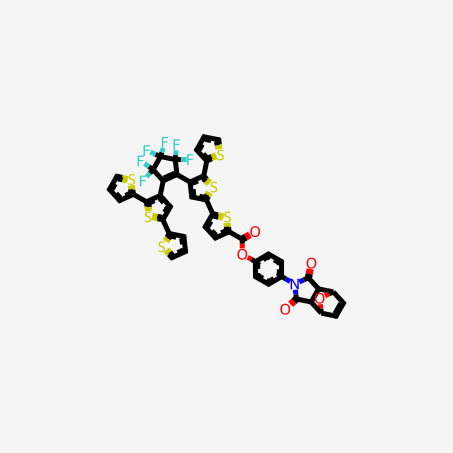 O=C(Oc1ccc(N2C(=O)C3C4C=CC(O4)C3C2=O)cc1)c1ccc(-c2cc(C3=C(c4cc(-c5cccs5)sc4-c4cccs4)C(F)(F)C(F)(F)C3(F)F)c(-c3cccs3)s2)s1